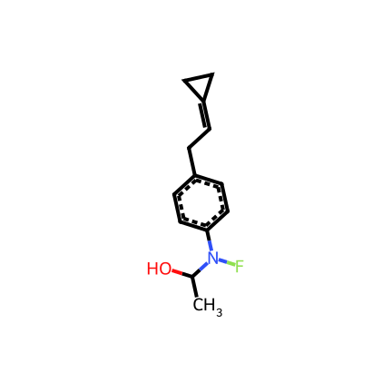 CC(O)N(F)c1ccc(CC=C2CC2)cc1